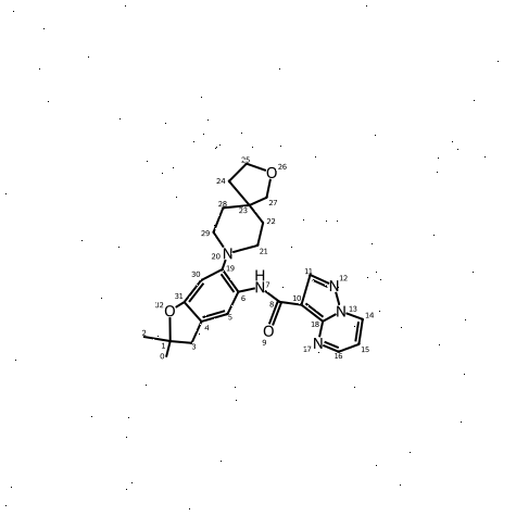 CC1(C)Cc2cc(NC(=O)c3cnn4cccnc34)c(N3CCC4(CCOC4)CC3)cc2O1